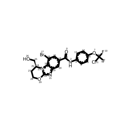 O=C(Nc1ccc(OC(F)(F)Cl)cc1)c1cc(Br)c2c(c1)nc1n2[C@H](CO)CCO1